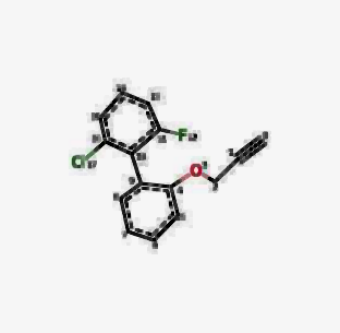 C#CCOc1[c]cccc1-c1c(F)cccc1Cl